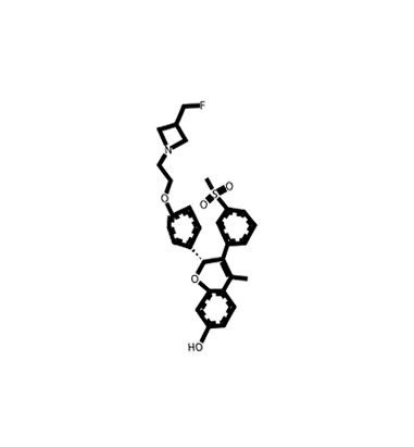 CC1=C(c2cccc(S(C)(=O)=O)c2)[C@@H](c2ccc(OCCN3CC(CF)C3)cc2)Oc2cc(O)ccc21